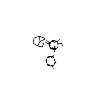 Fc1cccc(Oc2nc(N[C@@H]3[C@@H]4CC[C@H]3CN(c3ccnc(C(F)(F)F)c3)C4)nn2CC(F)(F)F)c1